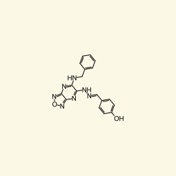 Oc1ccc(C=NNc2nc3nonc3nc2NCc2ccccc2)cc1